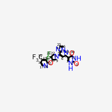 O=c1[nH]cc(-c2cc(N3C[C@H](Oc4cc(C(F)(F)F)ccn4)C(F)(F)C3)c3nccn3n2)c(=O)[nH]1